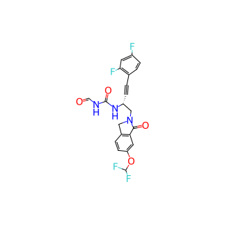 O=CNC(=O)N[C@H](C#Cc1ccc(F)cc1F)CN1Cc2ccc(OC(F)F)cc2C1=O